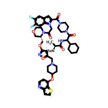 CN[C@@H](C)C(=O)NC(C(=O)N1CCN(C(=O)c2cc3cc(F)c(F)cc3n2CC(=O)N2CCOC[C@H]2COc2cc(CN3CCC(Oc4ccnc5ccsc45)CC3)on2)CC1)C1CCCCC1